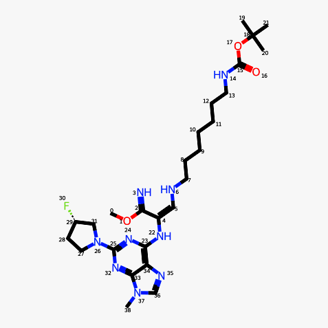 COC(=N)/C(=C\NCCCCCCCNC(=O)OC(C)(C)C)Nc1nc(N2CC[C@H](F)C2)nc2c1ncn2C